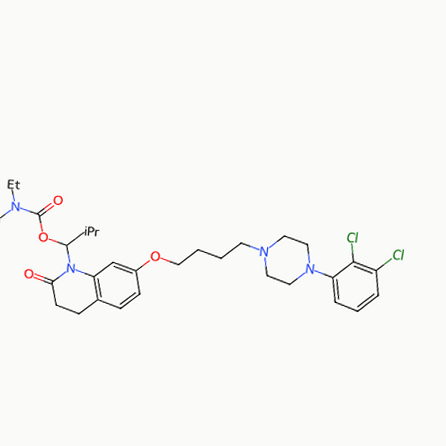 CCN(C(=O)OC(C(C)C)N1C(=O)CCc2ccc(OCCCCN3CCN(c4cccc(Cl)c4Cl)CC3)cc21)C(C)(C)C